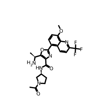 COc1ccc(-c2nc(C(=O)N[C@H]3CCN(C(C)=O)C3)c([C@H](C)N)o2)c2ccc(C(F)(F)F)nc12